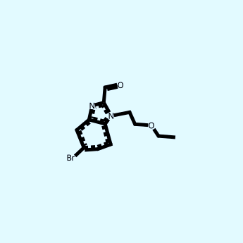 CCOCCn1c(C=O)nc2cc(Br)ccc21